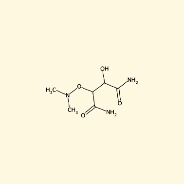 CN(C)OC(C(N)=O)C(O)C(N)=O